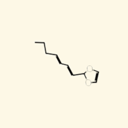 CCCC=CC=CC1OC=CO1